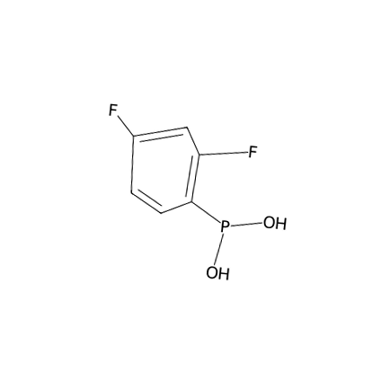 OP(O)c1ccc(F)cc1F